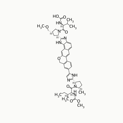 CC[C@H](C)[C@H](NC(=O)OC)C(=O)N1[C@@H](C)CC[C@H]1c1ncc(-c2ccc3c(c2)COc2cc4c(ccc5nc([C@@H]6C[C@H](COC)CN6C(=O)[C@@H](NC(=O)O)C(C)C)[nH]c54)cc2-3)[nH]1